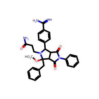 N=C(N)c1ccc(C2C3C(=O)N(c4ccccc4)C(=O)C3C(Cc3ccccc3)(OC(=O)O)N2CCC(N)=O)cc1